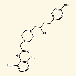 Cc1cccc(C)c1NC(=O)CN1CCN(CC(O)CCc2ccc(C(C)(C)C)cc2)CC1